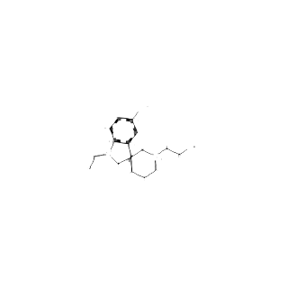 CCN1CC2(CCCN(CCO)C2)c2cc(F)ccc21